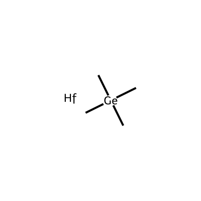 [CH3][Ge]([CH3])([CH3])[CH3].[Hf]